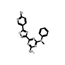 CC(=O)c1ccc(-c2nc(-c3nc(N)nc(N(C)c4ccccc4)n3)no2)cn1